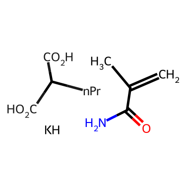 C=C(C)C(N)=O.CCCC(C(=O)O)C(=O)O.[KH]